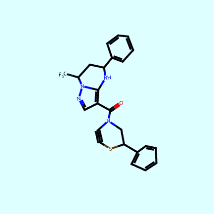 O=C(c1cnn2c1NC(c1ccccc1)CC2C(F)(F)F)N1C#CSC(c2ccccc2)C1